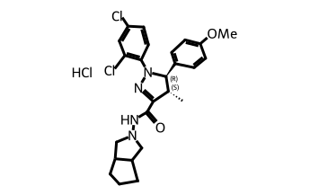 COc1ccc([C@H]2[C@H](C)C(C(=O)NN3CC4CCCC4C3)=NN2c2ccc(Cl)cc2Cl)cc1.Cl